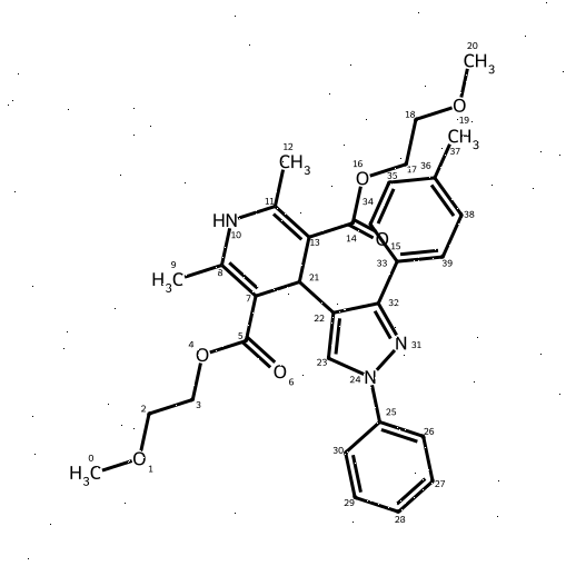 COCCOC(=O)C1=C(C)NC(C)=C(C(=O)OCCOC)C1c1cn(-c2ccccc2)nc1-c1ccc(C)cc1